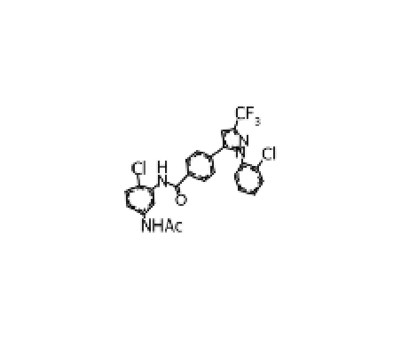 CC(=O)Nc1ccc(Cl)c(NC(=O)c2ccc(-c3cc(C(F)(F)F)nn3-c3ccccc3Cl)cc2)c1